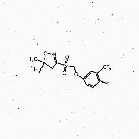 CC1(C)CC(S(=O)(=O)COc2ccc(F)c(C(F)(F)F)c2)=NO1